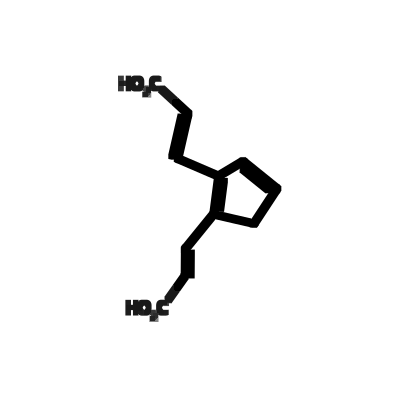 O=C(O)C=CC1=C(C=CC(=O)O)CC=C1